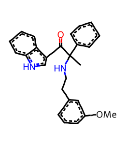 COc1cccc(CCNC(C)(C(=O)c2c[nH]c3ccccc23)c2ccccc2)c1